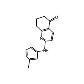 Cc1cccc(Nc2ccc3c(n2)CCCC3=O)c1